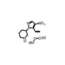 C=Cc1c([N+](=O)[O-])cnn1C1CCCNC1.CC(C)(C)OC=O